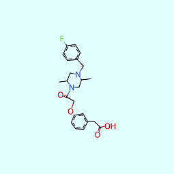 CC1CN(C(=O)COc2cccc(CC(=O)O)c2)C(C)CN1Cc1ccc(F)cc1